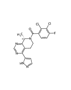 C[C@H]1c2ncnc(-c3ccn[nH]3)c2CCN1C(=O)c1ccc(F)c(Cl)c1Cl